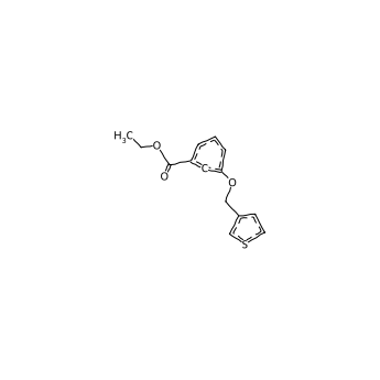 CCOC(=O)c1cccc(OCc2ccsc2)c1